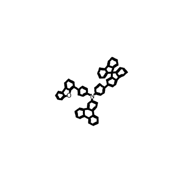 c1ccc2c(c1)-c1ccccc1C21c2ccccc2-c2ccc(-c3ccc(N(c4ccc(-c5cccc6c5oc5ccccc56)cc4)c4ccc5c6ccccc6c6ccccc6c5c4)cc3)cc21